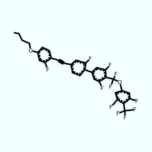 CCCCOc1ccc(C#Cc2ccc(-c3cc(F)c(C(F)(F)Oc4cc(F)c(C(F)(F)F)c(F)c4)c(F)c3)c(F)c2)c(F)c1